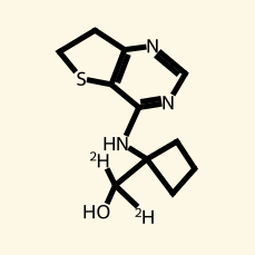 [2H]C([2H])(O)C1(Nc2ncnc3c2SCC3)CCC1